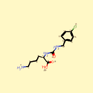 NCCCC[C@@H](NC(=O)NCc1ccc(Cl)cc1)C(=O)O